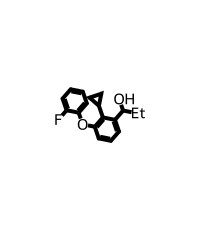 [CH2]CC(O)c1cccc(Oc2ccccc2F)c1C1CC1